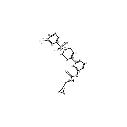 O=C(NCC1CC1)Oc1cccc(C2=CCN(S(=O)(=O)c3cccc(C(F)(F)F)c3)CC2)n1